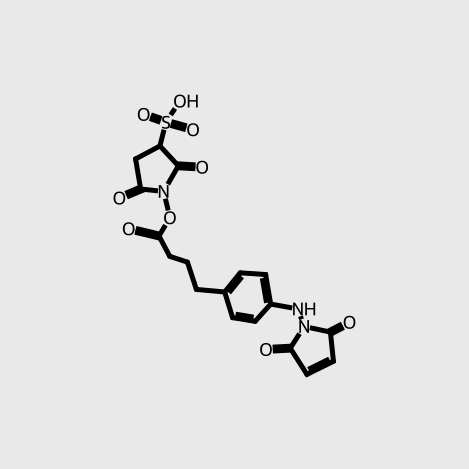 O=C(CCCc1ccc(NN2C(=O)C=CC2=O)cc1)ON1C(=O)CC(S(=O)(=O)O)C1=O